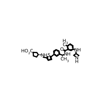 Cc1ccc(NC2CNC2)cc1C(=O)N[C@H](C)c1cccc(-c2ccc(CN[C@H]3CC[C@@H](C(=O)O)C3)s2)c1